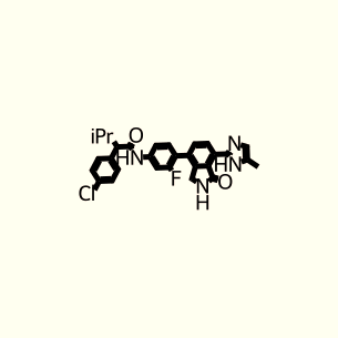 Cc1cnc(-c2ccc(-c3ccc(NC(=O)C(c4ccc(Cl)cc4)C(C)C)cc3F)c3c2C(=O)NC3)[nH]1